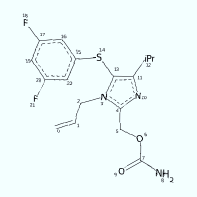 C=CCn1c(COC(N)=O)nc(C(C)C)c1Sc1cc(F)cc(F)c1